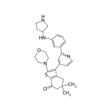 CC1(C)CC(=O)c2sc(N3CCOCC3)c(-c3ccnc(-c4cccc(NC5CCNC5)c4)c3)c2C1